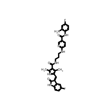 Cc1[nH]c(/C=C2\C(=O)Nc3ccc(F)cc32)c(C)c1C(=O)NCCCNc1ccc(C(=O)Nc2ccc(F)cc2N)cn1